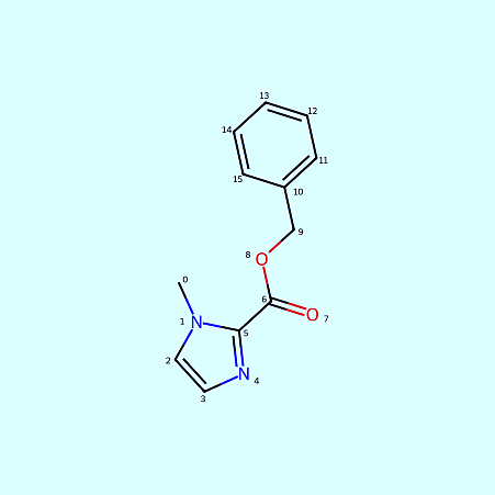 Cn1ccnc1C(=O)OCc1ccccc1